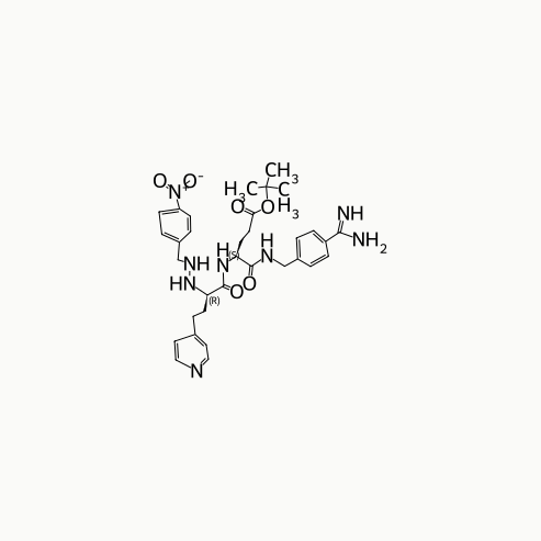 CC(C)(C)OC(=O)CC[C@H](NC(=O)[C@@H](CCc1ccncc1)NNCc1ccc([N+](=O)[O-])cc1)C(=O)NCc1ccc(C(=N)N)cc1